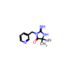 CCCC1(C)NC(=N)N(Cc2cccnc2)C1=O